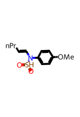 CCCC=CN(c1ccc(OC)cc1)[SH](=O)=O